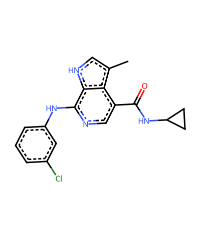 Cc1c[nH]c2c(Nc3cccc(Cl)c3)ncc(C(=O)NC3CC3)c12